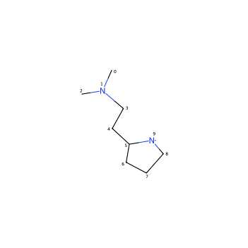 CN(C)CCC1CCC[N]1